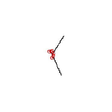 CCCCCCCCCCCCCCCCCC(=O)OCC(COC(C)=O)OC(=O)CCCCCCCCCCCCCCC